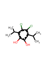 CC(C)c1c(O)c(O)c(C(C)C)c(Cl)c1Cl